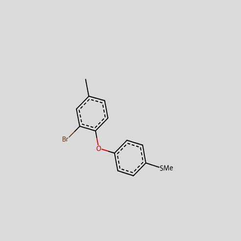 CSc1ccc(Oc2ccc(C)cc2Br)cc1